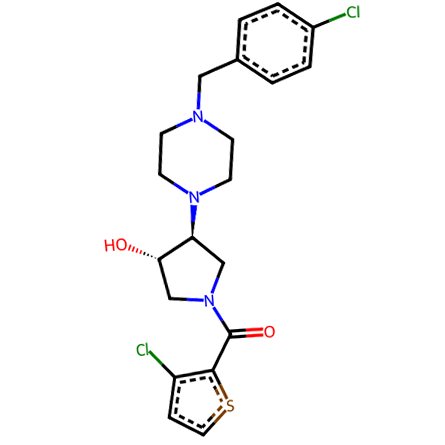 O=C(c1sccc1Cl)N1C[C@H](O)[C@@H](N2CCN(Cc3ccc(Cl)cc3)CC2)C1